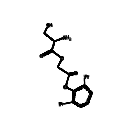 CC(C)c1cccc(C(C)C)c1OC(=O)COC(=O)C(N)CS